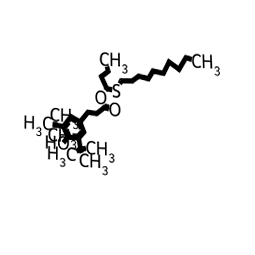 CCCCCCCCCCSC(CCC)OC(=O)CCc1cc(C(C)(C)C)c(O)c(C(C)(C)C)c1